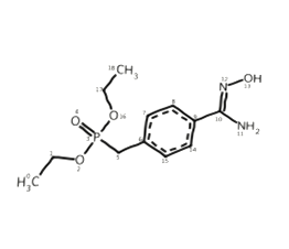 CCOP(=O)(Cc1ccc(C(N)=NO)cc1)OCC